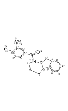 Nc1cc(C(=O)N2CCCC3c4ccccc4CC32)ccc1Cl